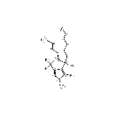 CCCCCCC(C)(CCCCC)c1c(C(F)(F)F)nn(C)c1F